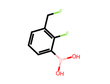 OB(O)c1cccc(CF)c1F